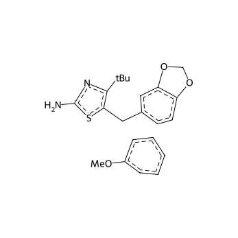 CC(C)(C)c1nc(N)sc1Cc1ccc2c(c1)OCO2.COc1ccccc1